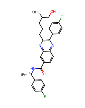 CC(C)[C@H](NC(=O)c1ccc2nc(C3C=CC(Cl)=CC3)c(CCCC(C=O)CO)nc2c1)c1ccc(F)cc1